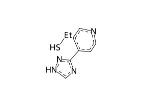 CCS.c1cc(-c2nc[nH]n2)ccn1